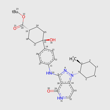 C[C@H]1CCCC[C@@H]1n1nc(Nc2ccc([C@]3(O)CC[C@H](C(=O)OC(C)(C)C)CC3)cc2)c2c(=O)[nH]ccc21